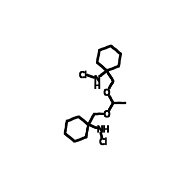 CC(OCC1(NCl)CCCCC1)OCC1(NCl)CCCCC1